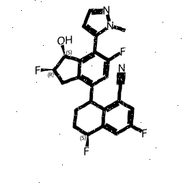 Cn1nccc1-c1c(F)cc(C2CC[C@H](F)c3cc(F)cc(C#N)c32)c2c1[C@H](O)[C@H](F)C2